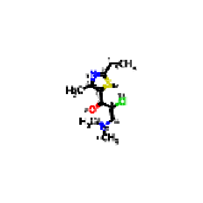 CCc1nc(C)c(C(=O)/C(Cl)=C\N(C)C)s1